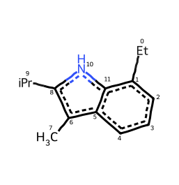 CCc1cccc2c(C)c(C(C)C)[nH]c12